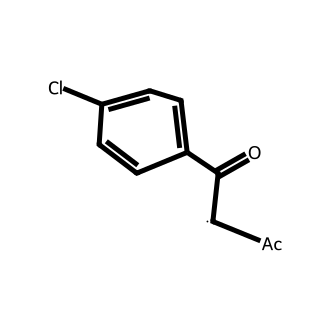 CC(=O)[CH]C(=O)c1ccc(Cl)cc1